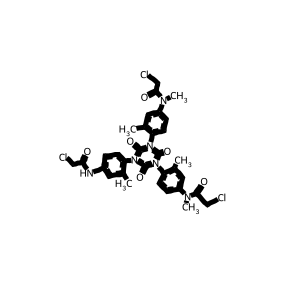 Cc1cc(NC(=O)CCl)ccc1-n1c(=O)n(-c2ccc(N(C)C(=O)CCl)cc2C)c(=O)n(-c2ccc(N(C)C(=O)CCl)cc2C)c1=O